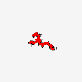 C[C@H]1CN(C(C2O[C@@H]3C[C@H]2N(c2ccn4ncc(C(=O)Nc5cn([C@H]6CC[C@H](CN7CC[C@H](OCC#Cc8cccc9c8n(C)c(=O)n9C8CCC(=O)NC8=O)[C@H](F)C7)CC6)nc5C(F)F)c4n2)C3)[C@H]2CC[C@H](n3cc(NC(=O)c4cnn5ccc(N6C[C@H]7C[C@@H]6CO7)nc45)c(C(F)F)n3)CC2)CC[C@@H]1OCC#Cc1cccc2c1N(C)C(O)N2C1CCC(=O)NC1=O